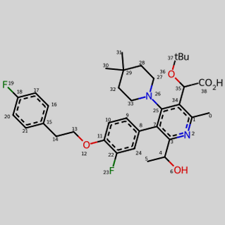 Cc1nc(C(C)O)c(-c2ccc(OCCc3ccc(F)cc3)c(F)c2)c(N2CCC(C)(C)CC2)c1C(OC(C)(C)C)C(=O)O